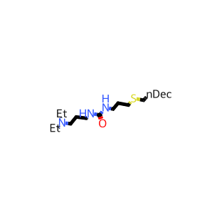 CCCCCCCCCCCSCCCNC(=O)NCCCN(CC)CC